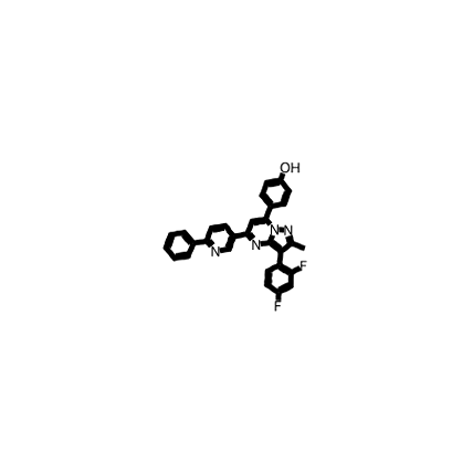 Cc1nn2c(-c3ccc(O)cc3)cc(-c3ccc(-c4ccccc4)nc3)nc2c1-c1ccc(F)cc1F